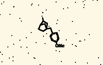 COc1ccc(CC23CCC(C2)C(C)C3)cc1